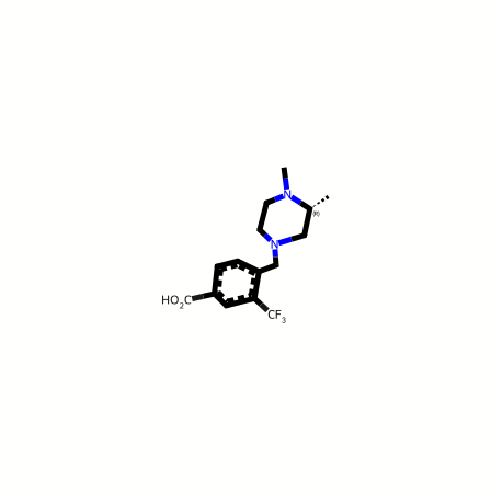 C[C@@H]1CN(Cc2ccc(C(=O)O)cc2C(F)(F)F)CCN1C